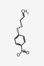 C=CCSSc1ccc([N+](=O)[O-])cc1